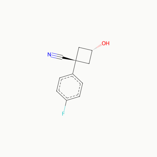 N#C[C@]1(c2ccc(F)cc2)C[C@@H](O)C1